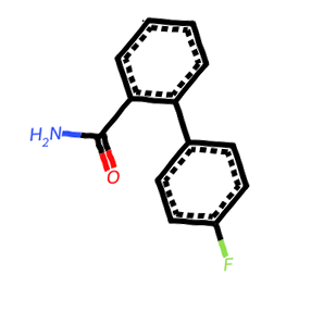 NC(=O)c1c[c]ccc1-c1ccc(F)cc1